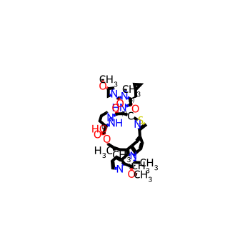 CCn1c(-c2cccnc2[C@H](C)OC)c2c3cc(ccc31)-c1csc(n1)C[C@H](NC(=O)[C@H](CC1CC1)N(C)C(=O)N1CC(OC)C1)C(=O)N1CCC[C@@](O)(N1)C(=O)OCC(C)(C)C2